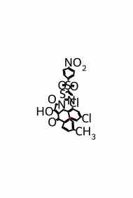 Cc1ccc(C(=O)C2=C(O)C(=O)N(c3ncc(S(=O)(=O)c4ccc([N+](=O)[O-])cc4)s3)C2c2ccc(Cl)cc2Cl)cc1